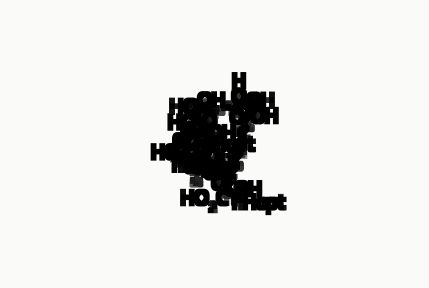 CCCCCCCC(O)C(C(=O)O)C(=O)CC(O)CCCCCCC[C@@H]1O[C@@H](C)[C@H](O)[C@@H](O)[C@H]1O.CCCCCCCC(O)C(C(=O)OC(=O)C(C(O)CCCCCCC)[C@@H]1O[C@@H](C)[C@H](O)[C@@H](O)[C@H]1O)[C@@H]1O[C@@H](C)[C@H](O)[C@@H](O)[C@H]1O